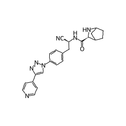 N#C[C@H](Cc1ccc(-n2cc(-c3ccncc3)nn2)cc1)NC(=O)[C@H]1NC2CCC1C2